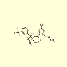 COCn1nc(O)cc1C1CC(C)(S(=O)(=O)c2cccc(C(F)(F)F)c2)CCO1